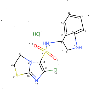 Cl.O=S(=O)(NC1CNc2ccccc21)c1c(Cl)nc2n1CCS2